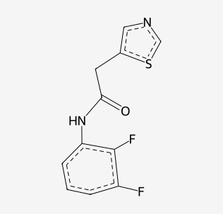 O=C(Cc1cncs1)Nc1cccc(F)c1F